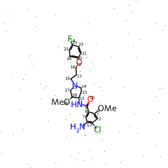 COc1cc(Cl)c(N)cc1C(=O)NC1CCN(CCCOc2ccc(F)cc2)CC1OC